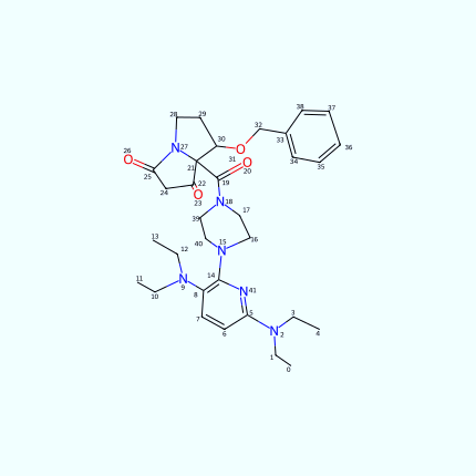 CCN(CC)c1ccc(N(CC)CC)c(N2CCN(C(=O)C34C(=O)CC(=O)N3CCC4OCc3ccccc3)CC2)n1